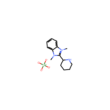 Cn1c(C2CCCCN2)[n+](C)c2ccccc21.[O-][Cl+3]([O-])([O-])[O-]